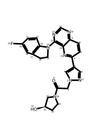 O=C(Cn1cc(-c2ccc3ncnc(N4CCc5cc(F)ccc54)c3n2)cn1)N1CC[C@@H](O)C1